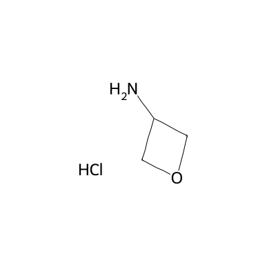 Cl.NC1COC1